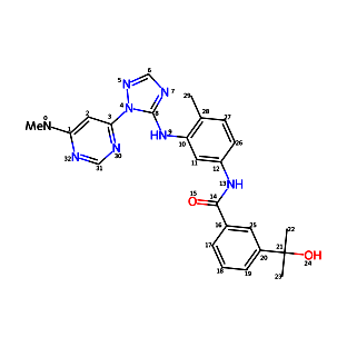 CNc1cc(-n2ncnc2Nc2cc(NC(=O)c3cccc(C(C)(C)O)c3)ccc2C)ncn1